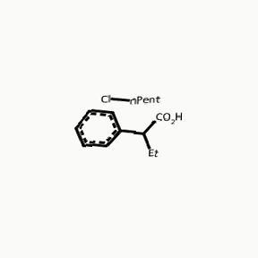 CCC(C(=O)O)c1ccccc1.CCCCCCl